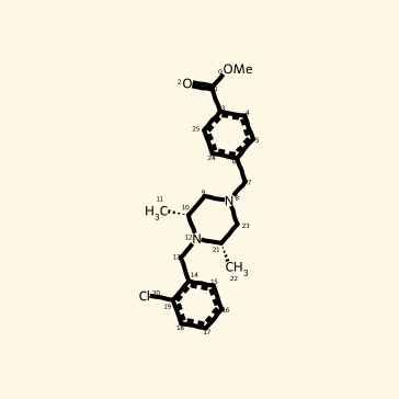 COC(=O)c1ccc(CN2C[C@@H](C)N(Cc3ccccc3Cl)[C@@H](C)C2)cc1